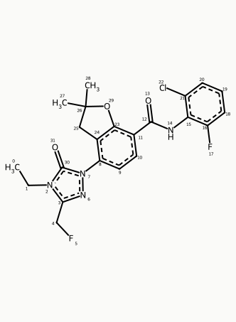 CCn1c(CF)nn(-c2ccc(C(=O)Nc3c(F)cccc3Cl)c3c2CC(C)(C)O3)c1=O